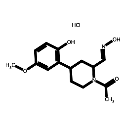 COc1ccc(O)c(C2CCN(C(C)=O)C(C=NO)C2)c1.Cl